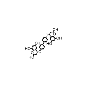 O=C(O)CC(Oc1ccc(-c2ccc(OC(CC(=O)O)c3cc(O)cc(O)c3)cc2)cc1)c1cc(O)cc(O)c1